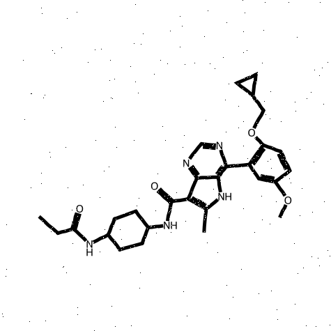 CCC(=O)NC1CCC(NC(=O)c2c(C)[nH]c3c(-c4cc(OC)ccc4OCC4CC4)ncnc23)CC1